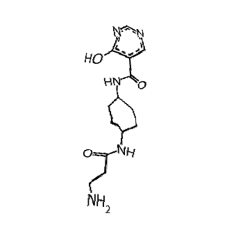 NCCC(=O)NC1CCC(NC(=O)c2cncnc2O)CC1